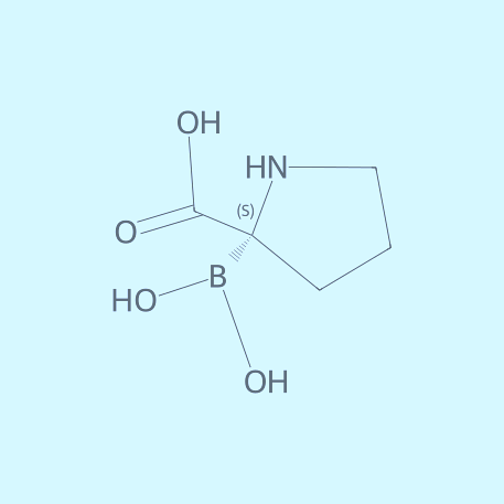 O=C(O)[C@]1(B(O)O)CCCN1